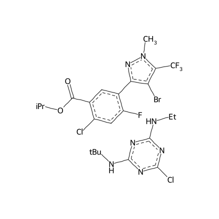 CC(C)OC(=O)c1cc(-c2nn(C)c(C(F)(F)F)c2Br)c(F)cc1Cl.CCNc1nc(Cl)nc(NC(C)(C)C)n1